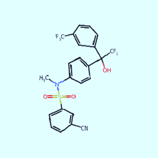 CN(c1ccc(C(O)(c2cccc(C(F)(F)F)c2)C(F)(F)F)cc1)S(=O)(=O)c1cccc(C#N)c1